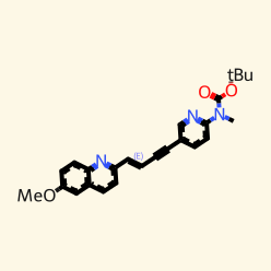 COc1ccc2nc(/C=C/C#Cc3ccc(N(C)C(=O)OC(C)(C)C)nc3)ccc2c1